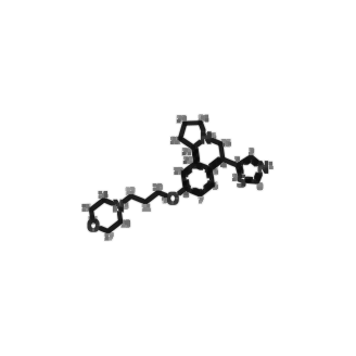 c1ncc(C2=c3ccc(OCCCN4CCOCC4)cc3=C3CCCN3C2)s1